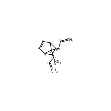 C=CCC1(CC=C)C2C=CC1C([N+](=O)[O-])C2